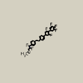 COC/C(F)=C(\F)c1ccc(CCc2ccc(-c3cc(F)c(-c4cc(F)c(F)c(F)c4)c(F)c3)cc2)cc1